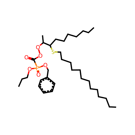 CCCCCCCCCCCCCSC(CCCCCCC)C(C)OOC(=O)P(=O)(OCCC)OCc1ccccc1